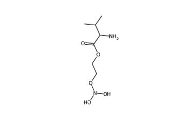 CC(C)C(N)C(=O)OCCON(O)O